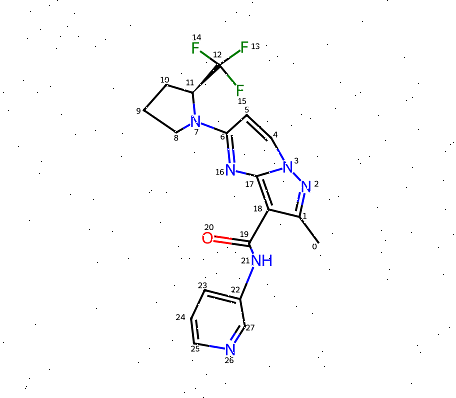 Cc1nn2ccc(N3CCC[C@H]3C(F)(F)F)nc2c1C(=O)Nc1cccnc1